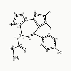 Cc1sc2c(c1C)C(c1ccc(Cl)cc1)=N[C@H](CC(=O)NN)c1nncn1-2